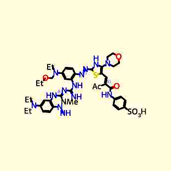 CCOCN(CC)c1ccc(/N=N/C2NC(N3CCOCC3)=C(/C=C(\C(C)=O)C(=O)Nc3ccc(S(=O)(=O)O)cc3)S2)c(NC(=N)/N=C(\NC)Nc2cc(N(CC)CC)ccc2N=N)c1